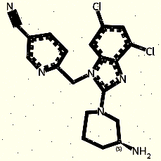 N#Cc1ccc(Cn2c(N3CCC[C@H](N)C3)nc3c(Cl)cc(Cl)cc32)nc1